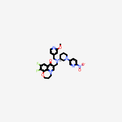 COc1cc(CN(Cc2cn3c4c(c(F)c(F)cc4c2=O)OCCC3)[C@H]2CCCN(c3ccc([N+](=O)[O-])nc3)C2)ccn1